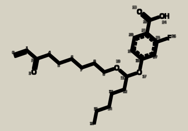 C=CC(=O)CCCCCCOC(CCCCC)Oc1ccc(C(=O)O)c(F)c1